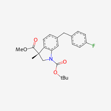 COC(=O)[C@@]1(C)CN(C(=O)OC(C)(C)C)c2cc(Cc3ccc(F)cc3)ccc21